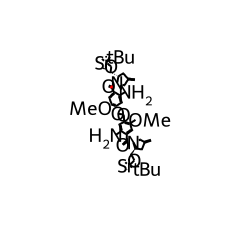 C=C1C[C@@H](CO[Si](C)(C)C(C)(C)C)N(C(=O)c2cc(OC)c(OOc3cc(N)c(C(=O)N4CC(=C)C[C@H]4CO[Si](C)(C)C(C)(C)C)cc3OC)cc2N)C1